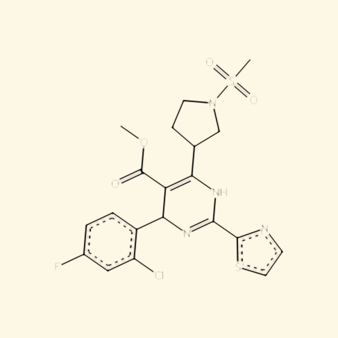 COC(=O)C1=C(C2CCN(S(C)(=O)=O)C2)NC(c2nccs2)=NC1c1ccc(F)cc1Cl